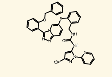 CC(C)(C)c1cc(NC(=O)NCc2ccccc2Sc2ccc3nnc(-c4ccccc4OCc4ccccc4)n3c2)n(-c2ccccn2)n1